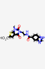 Cn1c(=O)n(CCNC(=O)c2ccc3[nH]cnc3c2)c(=O)c2cc(C(=O)O)sc21